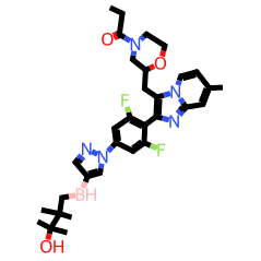 CCC(=O)N1CCOC(Cc2c(-c3c(F)cc(-n4cc(BCC(C)(C)C(C)(C)O)cn4)cc3F)nc3cc(C)ccn23)C1